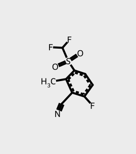 Cc1c(S(=O)(=O)C(F)F)ccc(F)c1C#N